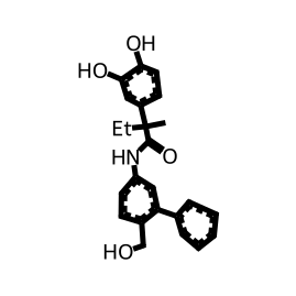 CCC(C)(C(=O)Nc1ccc(CO)c(-c2ccccc2)c1)c1ccc(O)c(O)c1